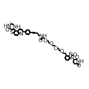 C[C@@H]1CNc2c(sc3ccc4nc(-c5ccc(C#CCCNC(=O)COCCOCCOCCOCCc6cccc7c6n(C)c(=O)n7C6CCC(=O)NC6=O)cc5)ccc4c23)C(=O)N1